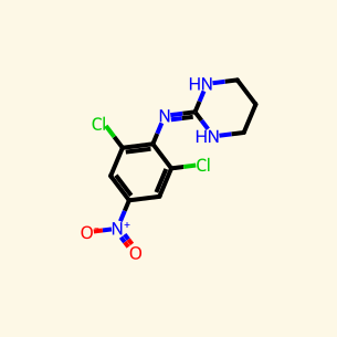 O=[N+]([O-])c1cc(Cl)c(N=C2NCCCN2)c(Cl)c1